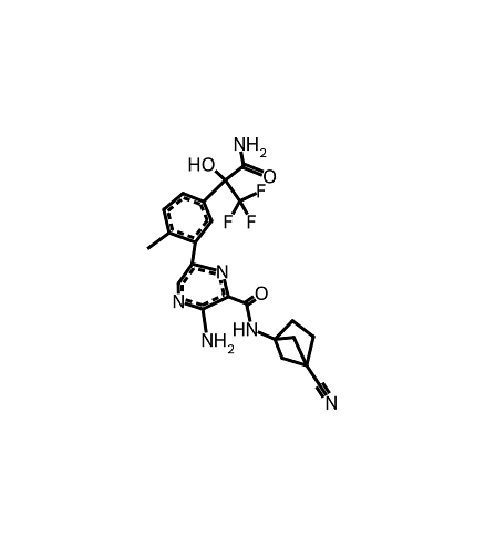 Cc1ccc(C(O)(C(N)=O)C(F)(F)F)cc1-c1cnc(N)c(C(=O)NC23CCC(C#N)(C2)C3)n1